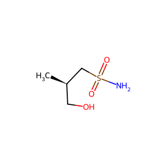 C[C@H](CO)CS(N)(=O)=O